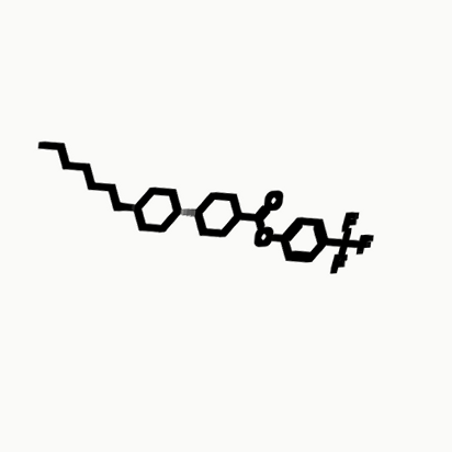 CCCCCCC[C@H]1CC[C@H](C2CCC(C(=O)Oc3ccc(C(F)(F)F)cc3)CC2)CC1